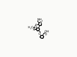 Cc1nc2cc(COc3ccccc3CC(=O)O)cc(-c3ccnc(CN)c3F)c2o1